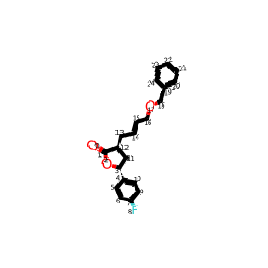 O=C1O[C@@H](c2ccc(F)cc2)C[C@@H]1C/C=C/COCc1ccccc1